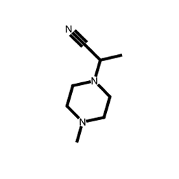 CC(C#N)N1CCN(C)CC1